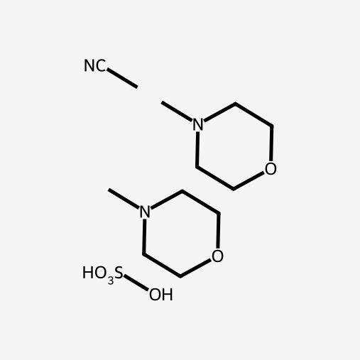 CC#N.CN1CCOCC1.CN1CCOCC1.O=S(=O)(O)O